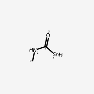 CN[C](=O)[SnH]